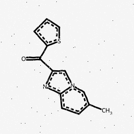 Cc1ccc2nc(C(=O)c3cccs3)cn2c1